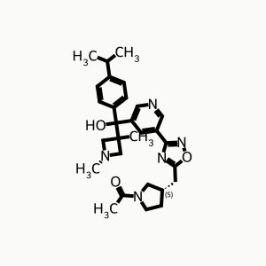 CC(=O)N1CC[C@@H](Cc2nc(-c3cncc(C(O)(c4ccc(C(C)C)cc4)C4(C)CN(C)C4)c3)no2)C1